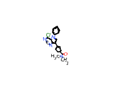 CN(C)C(=O)c1ccc(-c2cn(-c3ccccc3)c3c(Cl)ncnc23)cc1